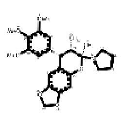 COc1cc([C@H]2c3cc4c(cc3O[C@](C)(N3CCCC3)[C@H]2C)OCO4)cc(OC)c1OC